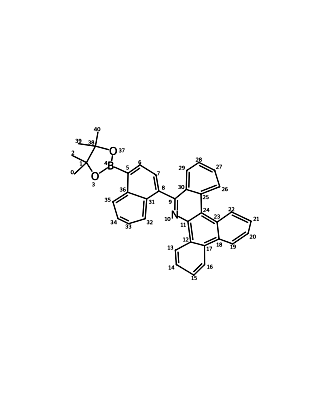 CC1(C)OB(c2ccc(-c3nc4c5ccccc5c5ccccc5c4c4ccccc34)c3ccccc23)OC1(C)C